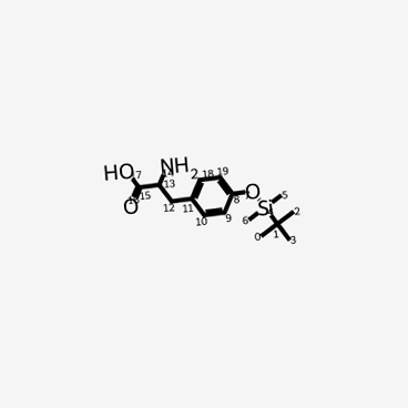 CC(C)(C)[Si](C)(C)Oc1ccc(CC(N)C(=O)O)cc1